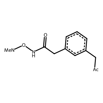 CNONC(=O)Cc1cccc(CC(C)=O)c1